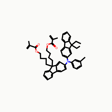 C=C(C)C(=O)OCCCCC1(CCCCOC(=O)C(=C)C)c2ccccc2-c2ccc(N(c3cccc(C)c3)c3ccc4c(c3)C(CC)(CC)c3ccccc3-4)cc21